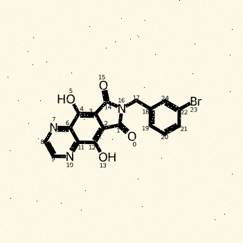 O=C1c2c(c(O)c3nccnc3c2O)C(=O)N1Cc1cccc(Br)c1